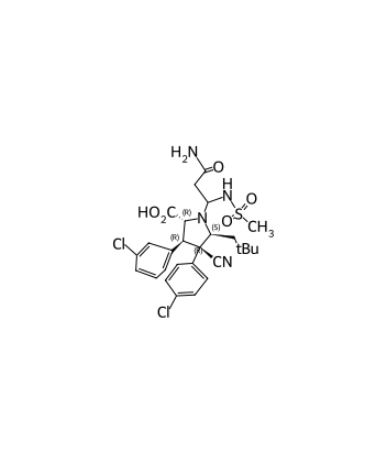 CC(C)(C)C[C@@H]1N(C(CC(N)=O)NS(C)(=O)=O)[C@@H](C(=O)O)[C@H](c2cccc(Cl)c2)[C@@]1(C#N)c1ccc(Cl)cc1